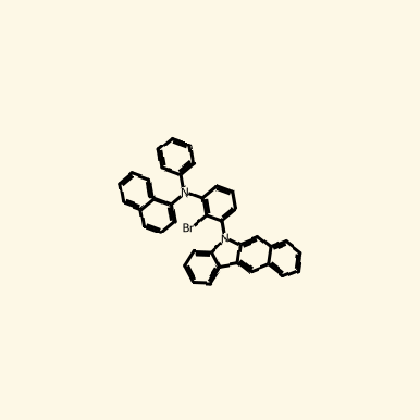 Brc1c(N(c2ccccc2)c2cccc3ccccc23)cccc1-n1c2ccccc2c2cc3ccccc3cc21